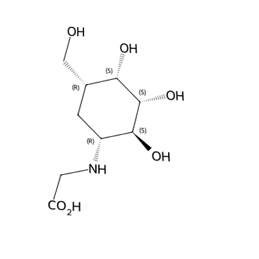 O=C(O)CN[C@@H]1C[C@H](CO)[C@H](O)[C@H](O)[C@H]1O